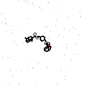 CC1C2CC3CC1C(C)C(C(=O)OCC1CCC(COC(=O)C45CC6CC(C4)C(C)C(C6)C5C)CC1)(C3)C2